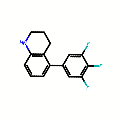 Fc1cc(-c2cccc3c2CCCN3)cc(F)c1F